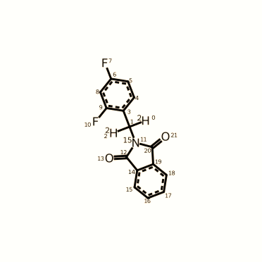 [2H]C([2H])(c1ccc(F)cc1F)[15N]1C(=O)c2ccccc2C1=O